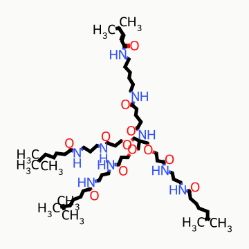 CC(C)/C=C/C(=O)NCCCCCCNC(=O)CCCC(=O)NC(COCCC(=O)NCCCNC(=O)CCCCC(C)C)(COCCC(=O)NCCCNC(=O)CCCCC(C)(C)C)COCCC(=O)NCCCNC(=O)CCCCC(C)(C)C